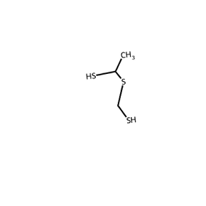 CC(S)SCS